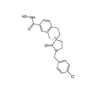 O=C(NO)c1ccc2c(c1)C[C@]1(CC2)CCN(Cc2ccc(Cl)cc2)C1=O